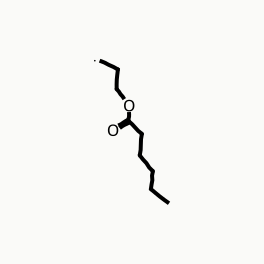 [CH2]CCOC(=O)CCCCC